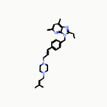 CCc1nc2c(C)cc(C)nc2n1Cc1ccc(/C=C/CN2CCN(CCC(C)C)CC2)cc1